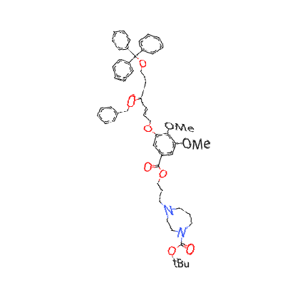 COc1cc(C(=O)OCCCN2CCCN(C(=O)OC(C)(C)C)CC2)cc(OC/C=C/C(CCOC(c2ccccc2)(c2ccccc2)c2ccccc2)OCc2ccccc2)c1OC